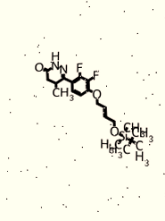 CC1CC(=O)NN=C1c1ccc(OCC=CCO[Si](C)(C)C(C)(C)C)c(F)c1F